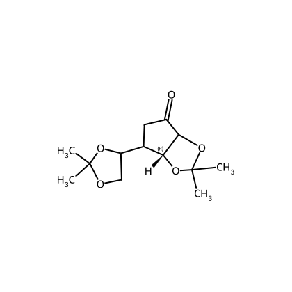 CC1(C)OCC(C2CC(=O)C3OC(C)(C)O[C@@H]32)O1